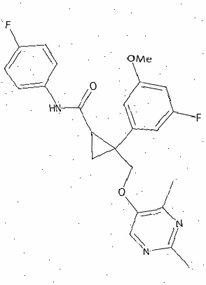 COc1cc(F)cc(C2(COc3cnc(C)nc3C)CC2C(=O)Nc2ccc(F)cc2)c1